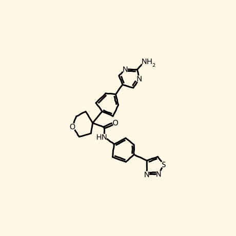 Nc1ncc(-c2ccc(C3(C(=O)Nc4ccc(-c5csnn5)cc4)CCOCC3)cc2)cn1